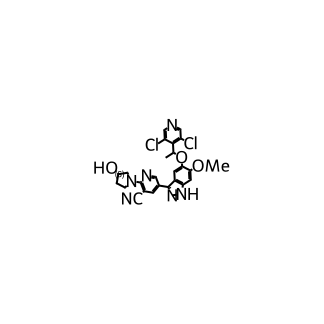 COc1cc2[nH]nc(-c3cnc(N4CC[C@H](O)C4)c(C#N)c3)c2cc1OC(C)c1c(Cl)cncc1Cl